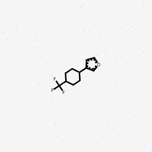 FC(F)(F)C1CCC(c2ccoc2)CC1